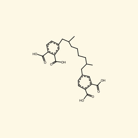 CC(CCCCC(C)Cc1ccc(C(=O)O)c(C(=O)O)c1)Cc1ccc(C(=O)O)c(C(=O)O)c1